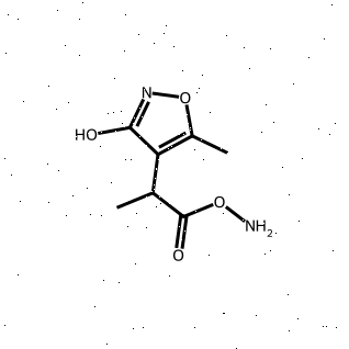 Cc1onc(O)c1C(C)C(=O)ON